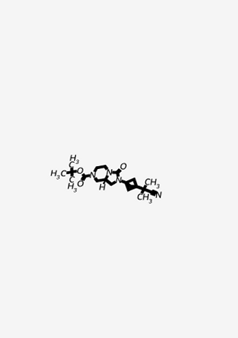 CC(C)(C)OC(=O)N1CCN2C(=O)N(C34CC(C(C)(C)C#N)(C3)C4)C[C@@H]2C1